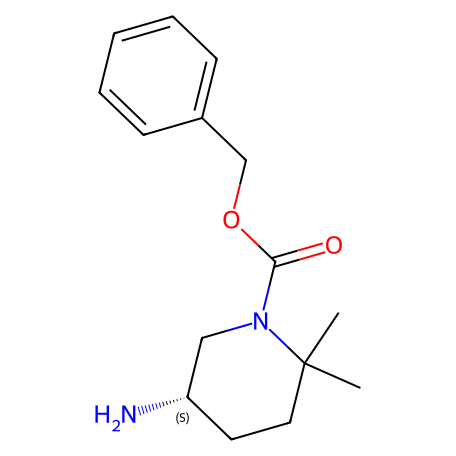 CC1(C)CC[C@H](N)CN1C(=O)OCc1ccccc1